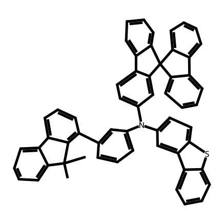 CC1(C)c2ccccc2-c2cccc(-c3cccc(N(c4ccc5c(c4)C4(c6ccccc6-c6ccccc64)c4ccccc4-5)c4ccc5sc6ccccc6c5c4)c3)c21